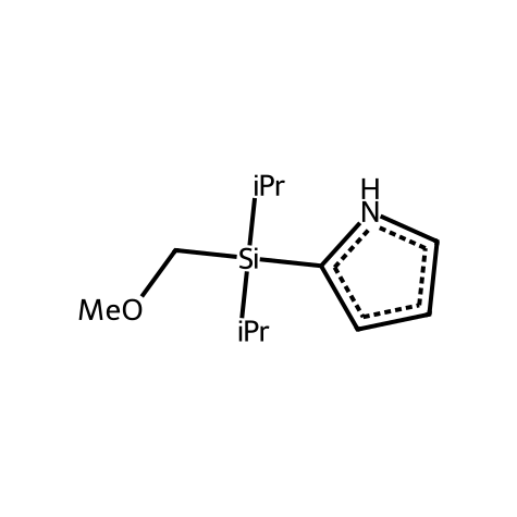 COC[Si](c1ccc[nH]1)(C(C)C)C(C)C